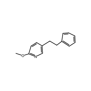 COc1ccc(CCc2ccccc2)cn1